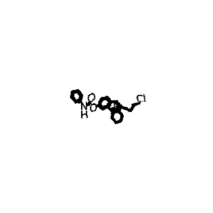 O=C(Nc1ccccc1)Oc1ccc2c(c1)C13CCCCC1C(C2)N(CCCCl)CC3